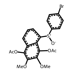 COc1c(OC)c(OC(C)=O)c2c([S+]([O-])c3ccc(Br)cc3)cccc2c1OC(C)=O